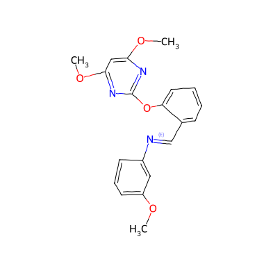 COc1cccc(/N=C/c2ccccc2Oc2nc(OC)cc(OC)n2)c1